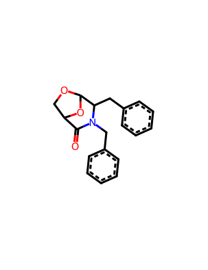 O=C1C2COC(O2)C(Cc2ccccc2)N1Cc1ccccc1